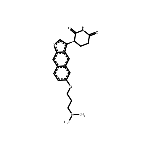 CN(C)CCCOc1ccc2cc3occ([C@@H]4CCC(=O)NC4=O)c3cc2c1